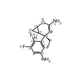 NC1=N[C@](CF)(c2cc(N)cc(F)c2F)[C@H]2CC2O1